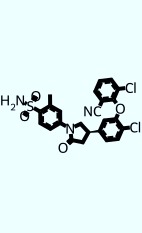 Cc1cc(N2C[C@@H](c3ccc(Cl)c(Oc4c(Cl)cccc4C#N)c3)CC2=O)ccc1S(N)(=O)=O